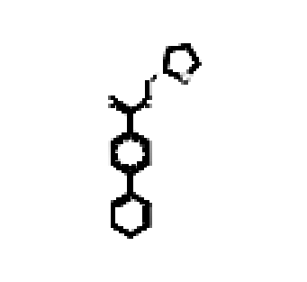 O=C(OC[C@@H]1CCCO1)c1ccc(C2=CCCC=C2)cc1